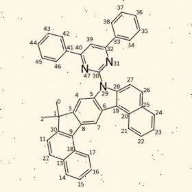 CC1(C)c2cc3c(cc2-c2c1ccc1ccccc21)c1c2ccccc2ccc1n3-c1nc(-c2ccccc2)cc(-c2ccccc2)n1